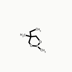 C[CH]C1(C)COP(C)OC1